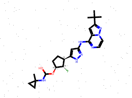 CC1(NC(O)O[C@H]2CC[C@@H](c3cc(Nc4nccn5nc(C(C)(C)C)cc45)n[nH]3)[C@@H]2F)CC1